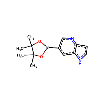 CC1(C)OB(c2cnc3cc[nH]c3c2)OC1(C)C